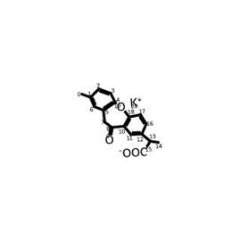 Cc1ccc2c(c1)CC(=O)c1cc(C(C)C(=O)[O-])ccc1O2.[K+]